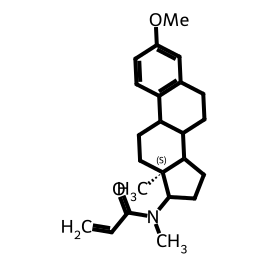 C=CC(=O)N(C)C1CCC2C3CCc4cc(OC)ccc4C3CC[C@@]21C